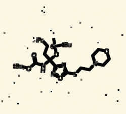 CC(C)CCC(NC(=O)OC(C)(C)C)(O[Si](C)(C)C(C)(C)C)c1noc(SCCN2CCOCC2)n1